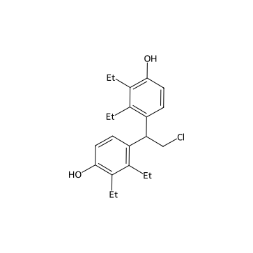 CCc1c(O)ccc(C(CCl)c2ccc(O)c(CC)c2CC)c1CC